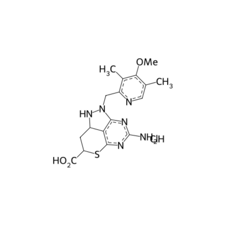 COc1c(C)cnc(CN2NC3CC(C(=O)O)Sc4nc(N)nc2c43)c1C.Cl